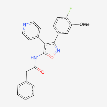 COc1cc(-c2noc(NC(=O)Cc3ccccc3)c2-c2ccncc2)ccc1F